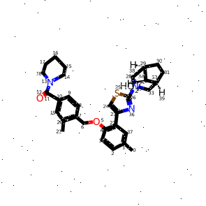 Cc1ccc(OCc2ccc(C(=O)N3CCCCC3)cc2C)c(-c2csc(N3C[C@H]4CC[C@@H](C3)[C@@H]4C(=O)O)n2)c1